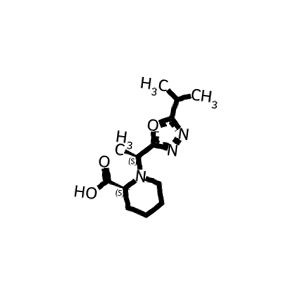 CC(C)c1nnc([C@H](C)N2CCCC[C@H]2C(=O)O)o1